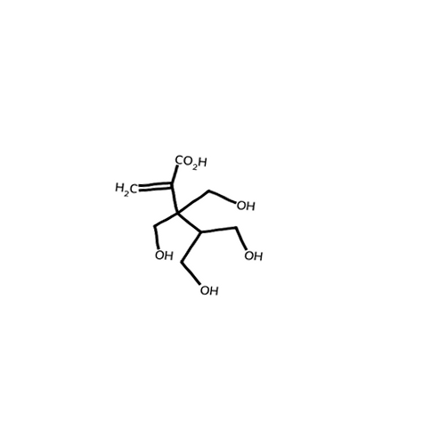 C=C(C(=O)O)C(CO)(CO)C(CO)CO